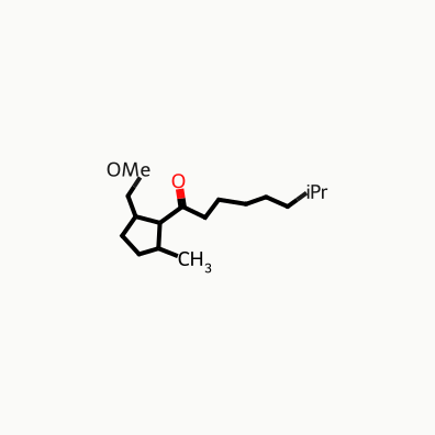 COCC1CCC(C)C1C(=O)CCCCCC(C)C